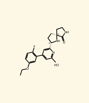 CCOc1ccc(F)c(-c2cc(C)nc([C@@H]3CC[C@@]4(CCNC4=O)N3)c2)c1.Cl